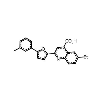 CCc1ccc2nc(-c3ccc(-c4cccc(C)c4)o3)cc(C(=O)O)c2c1